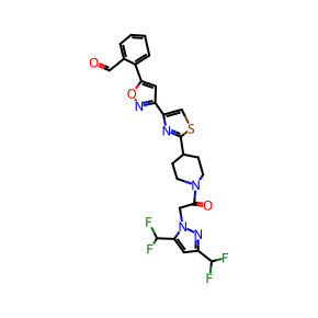 O=Cc1ccccc1-c1cc(-c2csc(C3CCN(C(=O)Cn4nc(C(F)F)cc4C(F)F)CC3)n2)no1